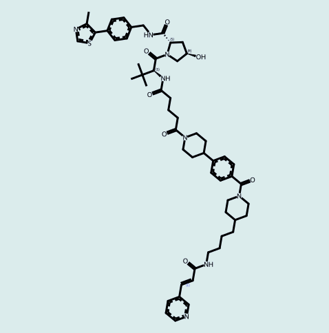 Cc1ncsc1-c1ccc(CNC(=O)[C@@H]2C[C@@H](O)CN2C(=O)[C@@H](NC(=O)CCCC(=O)N2CCC(c3ccc(C(=O)N4CCC(CCCCNC(=O)/C=C/c5cccnc5)CC4)cc3)CC2)C(C)(C)C)cc1